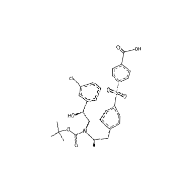 C[C@H](Cc1ccc(S(=O)(=O)c2ccc(C(=O)O)cc2)cc1)N(C[C@@H](O)c1cccc(Cl)c1)C(=O)OC(C)(C)C